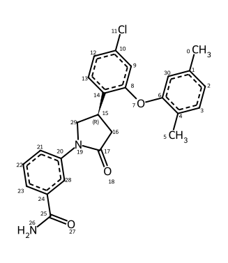 Cc1ccc(C)c(Oc2cc(Cl)ccc2[C@H]2CC(=O)N(c3cccc(C(N)=O)c3)C2)c1